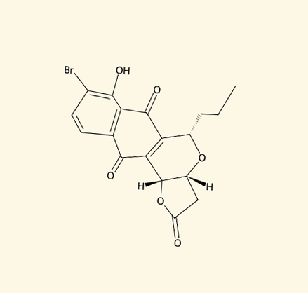 CCC[C@@H]1O[C@@H]2CC(=O)O[C@@H]2C2=C1C(=O)c1c(ccc(Br)c1O)C2=O